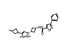 CN1CC(C2=CN([C@H]3C[C@H](NC(=O)c4cc(-c5ccccc5)no4)C3)NN2)C1